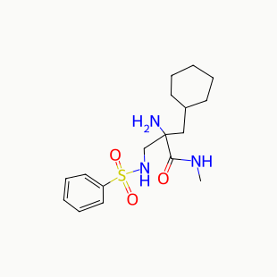 CNC(=O)C(N)(CNS(=O)(=O)c1ccccc1)CC1CCCCC1